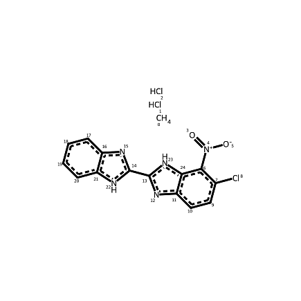 C.Cl.Cl.O=[N+]([O-])c1c(Cl)ccc2nc(-c3nc4ccccc4[nH]3)[nH]c12